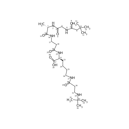 C[C@H](NC(=O)CNC(=O)CC(C)(C)C)C(=O)NCCC(=O)N[C@@H](CCCCNC(=O)CCNC(C)(C)C)C(=O)O